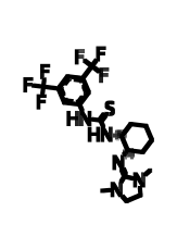 CN1CCN(C)C1=N[C@@H]1CCCC[C@H]1NC(=S)Nc1cc(C(F)(F)F)cc(C(F)(F)F)c1